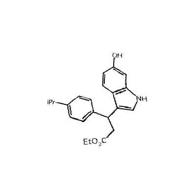 CCOC(=O)CC(c1ccc(C(C)C)cc1)c1c[nH]c2cc(O)ccc12